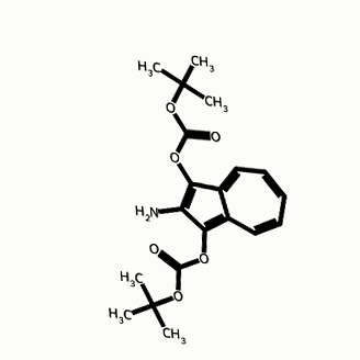 CC(C)(C)OC(=O)Oc1c2cccccc-2c(OC(=O)OC(C)(C)C)c1N